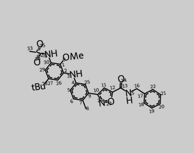 COc1c(Nc2ccc(C)c(-c3cc(C(=O)NCc4ccccc4)on3)c2)cc(C(C)(C)C)cc1NS(C)(=O)=O